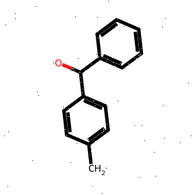 [CH2]c1ccc(C([O])c2ccccc2)cc1